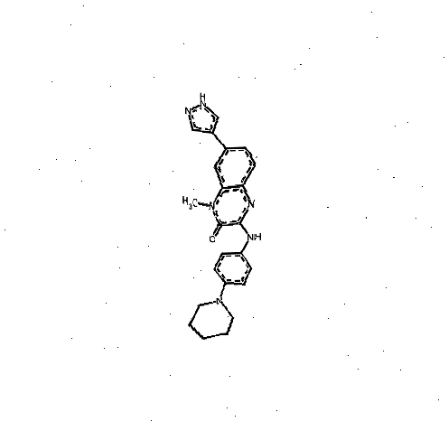 Cn1c(=O)c(Nc2ccc(N3CCCCC3)cc2)nc2ccc(-c3cn[nH]c3)cc21